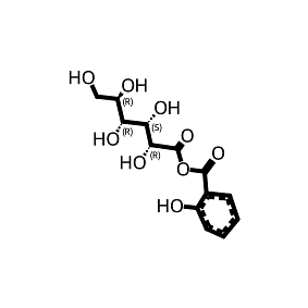 O=C(OC(=O)[C@H](O)[C@@H](O)[C@H](O)[C@H](O)CO)c1ccccc1O